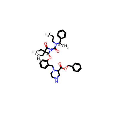 CCCN(C(=O)N1C(=O)C(CC)(CC)[C@@H]1Oc1ccccc1CN1CCNCC1C(=O)OCc1ccccc1)[C@H](C)c1ccccc1